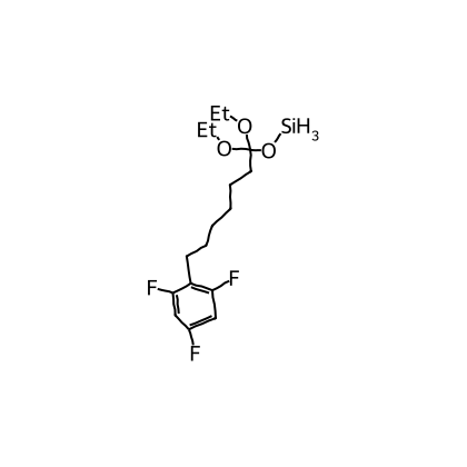 CCOC(CCCCCCc1c(F)cc(F)cc1F)(O[SiH3])OCC